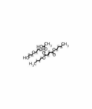 CC(=O)O.CCCCOC(=O)C=CC(=O)OCCCC.OCCOCCO